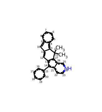 CC1(C)C2=c3ccccc3=CC2=Cc2c(-c3ccccc3)c3cc[nH]cc-3c21